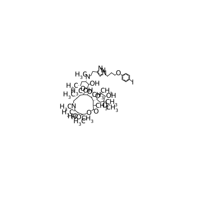 CC[C@H]1OC(=O)[C@H](C)C([C@H]2C[C@@](C)(OC)[C@@H](O)[C@H](C)O2)[C@H](C)[C@@H](O[C@@H]2O[C@H](C)C[C@H](N(C)CCc3cn(CCCOc4ccc(I)cc4)nn3)[C@H]2O)[C@](C)(O)C[C@@H](C)CN(C)[C@H](C)[C@@H](O)[C@]1(C)O